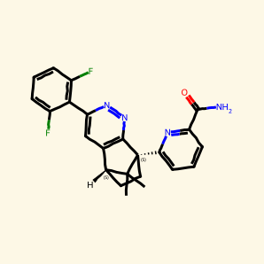 CC1(C)[C@@H]2CC[C@]1(c1cccc(C(N)=O)n1)c1nnc(-c3c(F)cccc3F)cc12